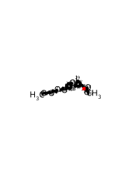 COCCOCCOCCOc1ccc(Oc2c(I)cc(CCC(=O)OC)cc2I)cc1